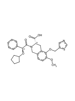 COc1ccc2c(c1OCc1cncs1)C[C@@H](C(=O)O)N(C(=O)[C@@H](OC1CCCC1)c1ccccc1)C2